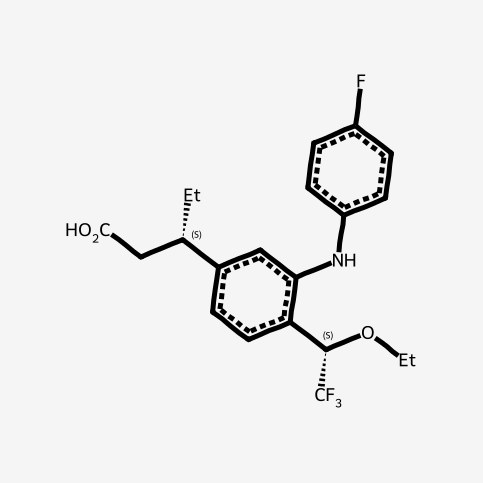 CCO[C@@H](c1ccc([C@@H](CC)CC(=O)O)cc1Nc1ccc(F)cc1)C(F)(F)F